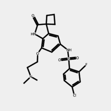 CN(C)CCOc1cc(NS(=O)(=O)c2ccc(Cl)cc2F)cc2c1NC(=O)C21CCC1